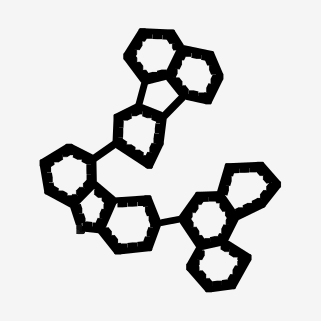 c1cc2c3c(cccc3c1)-c1cc(-c3cccc4sc5ccc(-c6cc7ccccc7c7ccccc67)cc5c34)ccc1-2